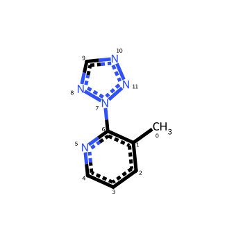 Cc1cccnc1-n1ncnn1